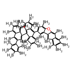 Bc1c(B)c(B)c(-c2c(B)c(-c3c4c(B)c(B)c(B)c(B)c4c(-c4c(B)c(B)c5oc6c(B)c7c(B)c(B)c(B)c(B)c7c(B)c6c5c4B)c4c(B)c(B)c(B)c(B)c34)c3c(B)c(B)c(B)c(B)c3c2B)c(B)c1B